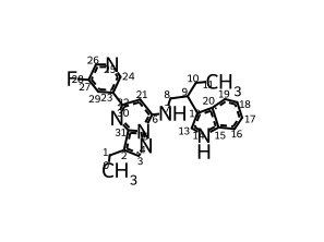 CCc1cnn2c(NCC(CC)c3c[nH]c4ccccc34)cc(-c3cncc(F)c3)nc12